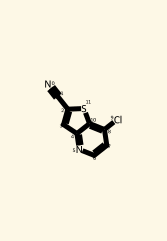 N#Cc1cc2nccc(Cl)c2s1